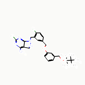 CC(C)(C)[Si](C)(C)OCc1cccc(OCc2ccc(F)c(Cn3ncc4c(N)nc(Cl)nc43)c2)c1